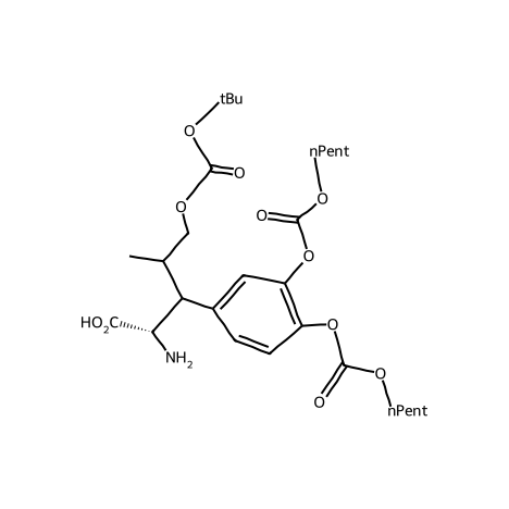 CCCCCOC(=O)Oc1ccc(C(C(C)COC(=O)OC(C)(C)C)[C@H](N)C(=O)O)cc1OC(=O)OCCCCC